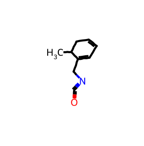 CC1CC=CC=C1CN=C=O